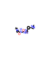 Cc1nccc(-c2cccc(-c3csc(NC(=O)CNC(=O)c4ccn(C(C)(C)C)c4)n3)c2)n1